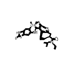 CCN(C(=O)C1CCc2c(sc3ncnc(Nc4cc5sc(=O)[nH]c5cc4OC)c23)C1)C(C)C